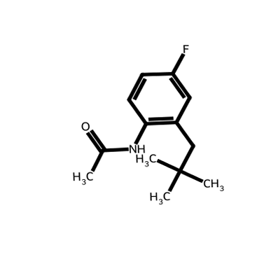 CC(=O)Nc1ccc(F)cc1CC(C)(C)C